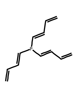 C=CC=CP(C=CC=C)C=CC=C